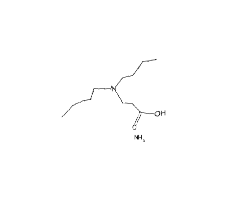 CCCCN(CCCC)CCC(=O)O.N